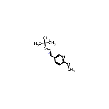 COc1ccc(/C=N/SC(C)(C)C)cn1